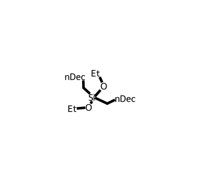 CCCCCCCCCCC[Si](CCCCCCCCCCC)(OCC)OCC